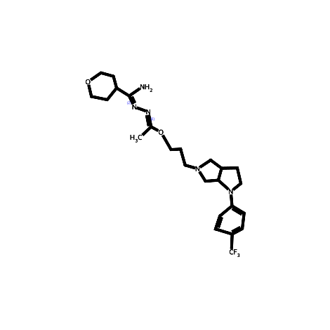 C/C(=N\N=C(/N)C1CCOCC1)OCCCN1CC2CCN(c3ccc(C(F)(F)F)cc3)C2C1